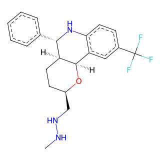 CNNC[C@H]1CC[C@@H]2[C@H](O1)c1cc(C(F)(F)F)ccc1N[C@H]2c1ccccc1